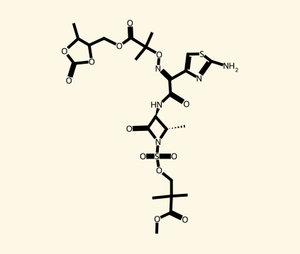 COC(=O)C(C)(C)COS(=O)(=O)N1C(=O)[C@@H](NC(=O)/C(=N/OC(C)(C)C(=O)OCC2OC(=O)OC2C)c2csc(N)n2)[C@@H]1C